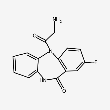 NCC(=O)N1c2ccccc2NC(=O)c2cc(F)ccc21